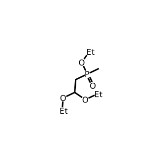 CCOC(CP(C)(=O)OCC)OCC